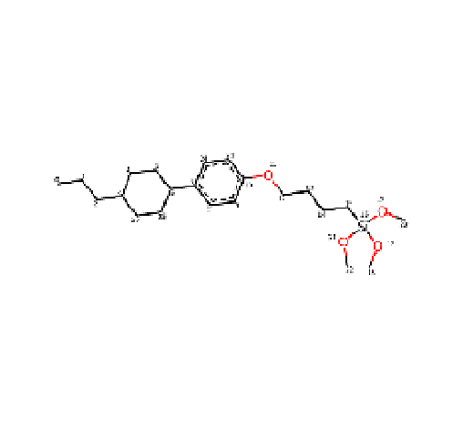 CCCC1CCC(c2ccc(OCCCC[Si](OC)(OC)OC)cc2)CC1